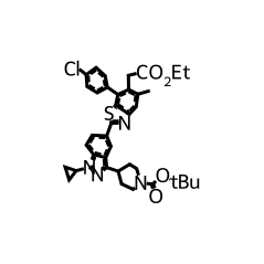 CCOC(=O)Cc1c(C)cc2nc(-c3ccc4c(c3)c(C3CCN(C(=O)OC(C)(C)C)CC3)nn4C3CC3)sc2c1-c1ccc(Cl)cc1